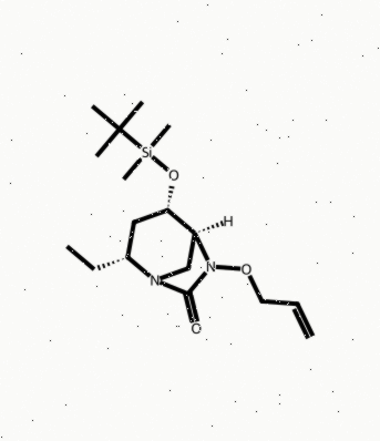 C=CCON1C(=O)N2C[C@H]1[C@@H](O[Si](C)(C)C(C)(C)C)C[C@H]2CC